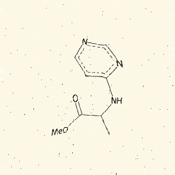 COC(=O)C(C)Nc1ccn[c]n1